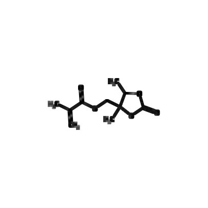 C=C(C)C(=O)OCC1(C)OC(=O)OC1C